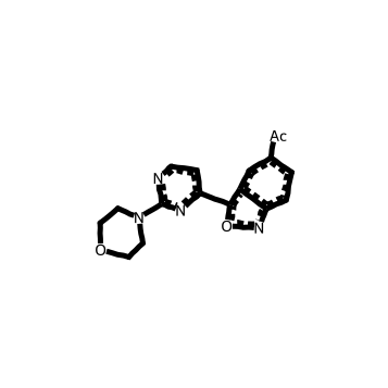 CC(=O)c1ccc2noc(-c3ccnc(N4CCOCC4)n3)c2c1